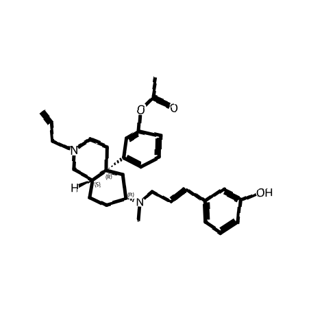 C=CCN1CC[C@@]2(c3cccc(OC(C)=O)c3)C[C@H](N(C)CC=Cc3cccc(O)c3)CC[C@@H]2C1